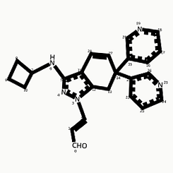 O=CC=Cn1nc(NC2CCC2)c2c1CC(c1cccnc1)(c1cccnc1)C=C2